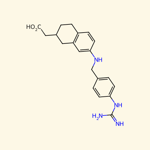 N=C(N)Nc1ccc(CNc2ccc3c(c2)CC(CC(=O)O)CC3)cc1